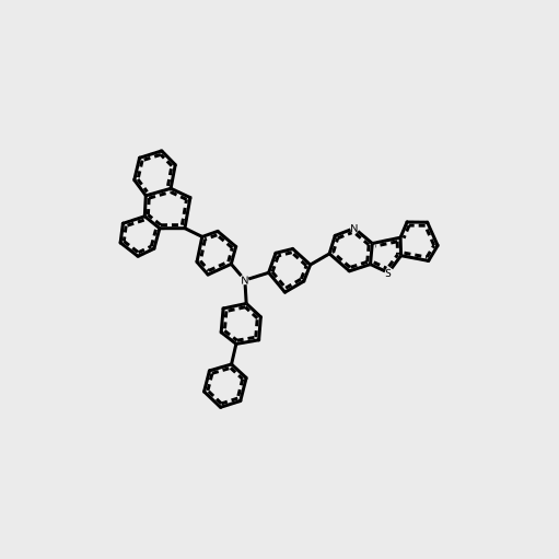 c1ccc(-c2ccc(N(c3ccc(-c4cnc5c(c4)sc4ccccc45)cc3)c3ccc(-c4cc5ccccc5c5ccccc45)cc3)cc2)cc1